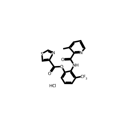 Cc1cccnc1C(=O)Nc1c(OC(=O)c2cscn2)cccc1C(F)(F)F.Cl